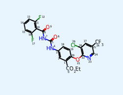 CCOC(=O)c1cc(NC(=O)NC(=O)c2c(F)cccc2F)ccc1Oc1ncc(C(F)(F)F)cc1Cl